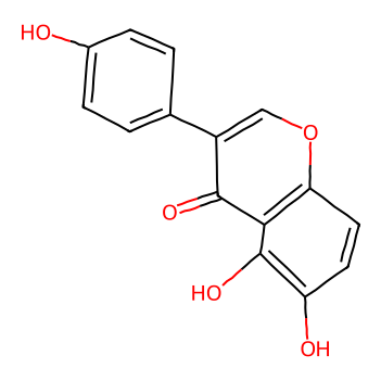 O=c1c(-c2ccc(O)cc2)coc2ccc(O)c(O)c12